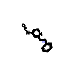 O=C=Nc1ccnc(/C=C/c2ccccc2)c1